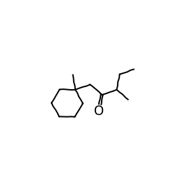 CCC(C)C(=O)CC1(C)CCCCC1